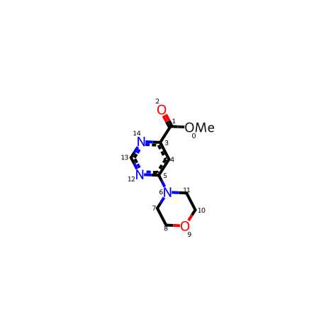 COC(=O)c1cc(N2CCOCC2)ncn1